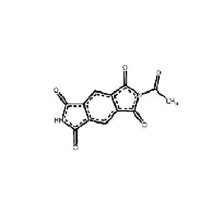 CC(=O)n1c(=O)c2cc3c(=O)[nH]c(=O)c3cc2c1=O